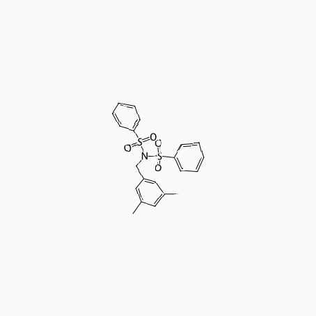 Cc1cc(C)cc(CN(S(=O)(=O)c2ccccc2)S(=O)(=O)c2ccccc2)c1